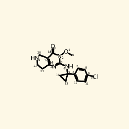 COn1c(NC2(c3ccc(Cl)cc3)CC2)nc2c(c1=O)CNCC2